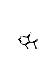 Cc1nc[nH]c(=O)c1C(N)=O